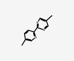 Cc1ccc(-c2ncc(C)cn2)nc1